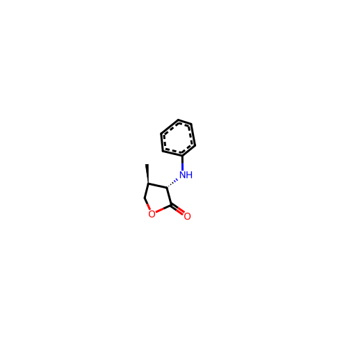 C[C@@H]1COC(=O)[C@H]1Nc1ccccc1